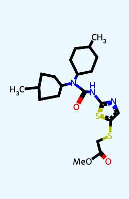 COC(=O)CSc1cnc(NC(=O)N(C2CCC(C)CC2)C2CCC(C)CC2)s1